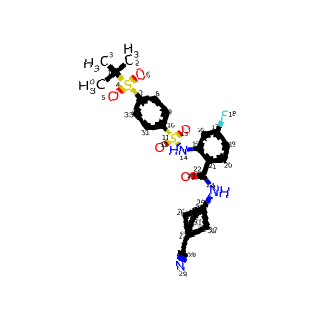 CC(C)(C)S(=O)(=O)c1ccc(S(=O)(=O)Nc2cc(F)ccc2C(=O)NC23CC(C#N)(C2)C3)cc1